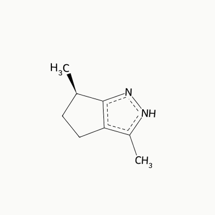 Cc1[nH]nc2c1CC[C@H]2C